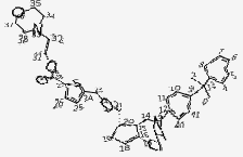 CC(C)(c1ccccc1)c1ccc(NC[C@H]2C(Cl)=CC[C@@H]2COCc2ccc(C(=O)OCCN3CCOCC3)s2)cc1